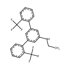 CCNc1cc(-c2ccccc2C(F)(F)F)cc(-c2ccccc2C(F)(F)F)c1